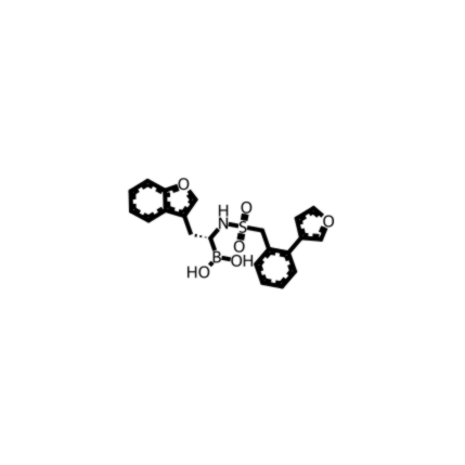 O=S(=O)(Cc1ccccc1-c1ccoc1)N[C@@H](Cc1coc2ccccc12)B(O)O